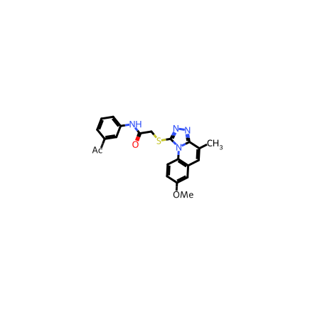 COc1ccc2c(c1)cc(C)c1nnc(SCC(=O)Nc3cccc(C(C)=O)c3)n12